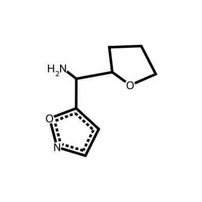 NC(c1ccno1)C1CCCO1